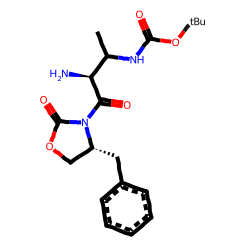 CC(NC(=O)OC(C)(C)C)[C@H](N)C(=O)N1C(=O)OC[C@H]1Cc1ccccc1